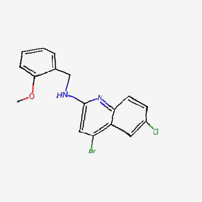 COc1ccccc1CNc1cc(Br)c2cc(Cl)ccc2n1